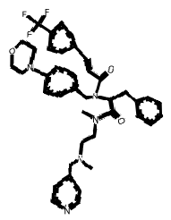 CN(CCN(C)C(=O)C(Cc1ccccc1)N(Cc1ccc(N2CCOCC2)cc1)C(=O)C=Cc1ccc(C(F)(F)F)cc1)Cc1ccncc1